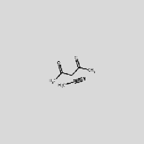 CC#N.CC(=O)CC(C)=O